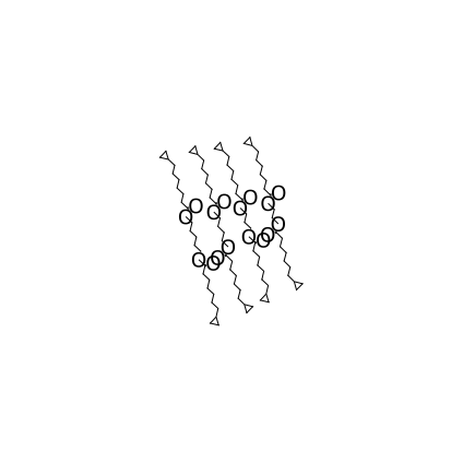 O=C(CCCCCCC1CC1)OCCCCCOC(=O)CCCCCCC1CC1.O=C(CCCCCCC1CC1)OCCCCOC(=O)CCCCCCC1CC1.O=C(CCCCCCC1CC1)OCCCOC(=O)CCCCCCC1CC1.O=C(CCCCCCC1CC1)OCCOC(=O)CCCCCCC1CC1